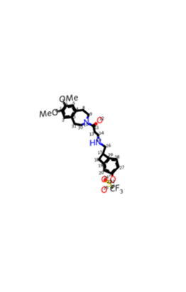 COc1cc2c(cc1OC)CCN(C(=O)CCNCC1Cc3cc(OS(=O)(=O)C(F)(F)F)ccc31)CC2